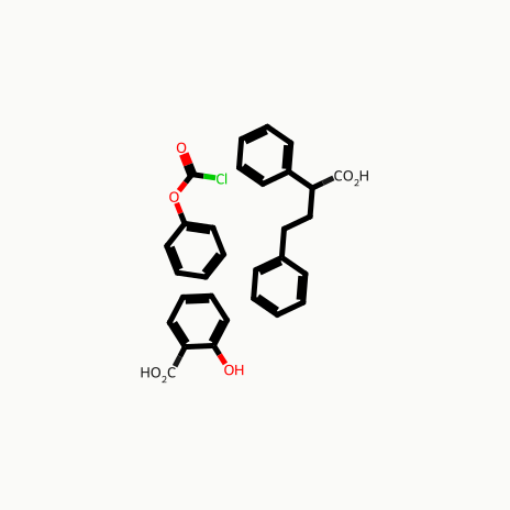 O=C(Cl)Oc1ccccc1.O=C(O)C(CCc1ccccc1)c1ccccc1.O=C(O)c1ccccc1O